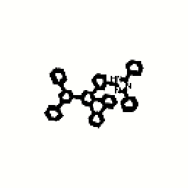 c1ccc(C2=NC(c3ccccc3)NC(c3cccc(-c4cc(-c5cc(-c6ccccc6)cc(-c6ccccc6)c5)cc5c6ccccc6c6ccccc6c45)c3)=N2)cc1